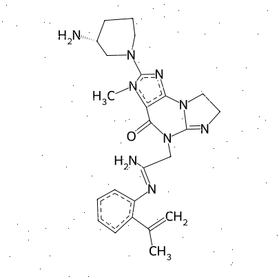 C=C(C)c1ccccc1/N=C(\N)CN1C(=O)c2c(nc(N3CCC[C@@H](N)C3)n2C)N2CCN=C12